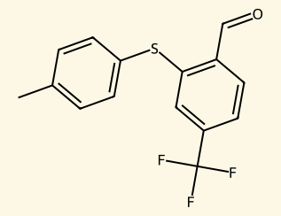 Cc1ccc(Sc2cc(C(F)(F)F)ccc2C=O)cc1